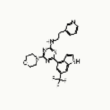 FC(F)(F)c1cc(-c2nc(NCCc3cccnc3)nc(N3CCOCC3)n2)c2cc[nH]c2c1